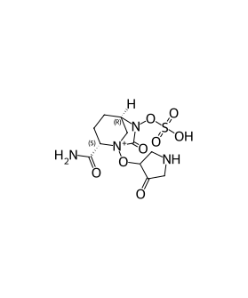 NC(=O)[C@@H]1CC[C@@H]2C[N+]1(OC1CNCC1=O)C(=O)N2OS(=O)(=O)O